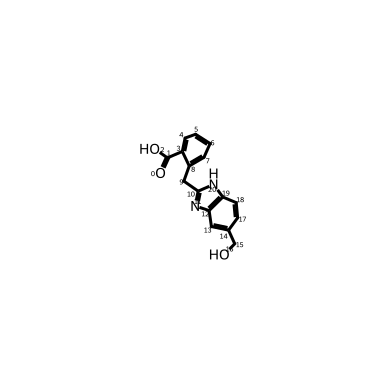 O=C(O)c1ccccc1Cc1nc2cc(CO)ccc2[nH]1